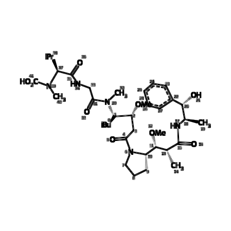 CC[C@H](C)[C@@H]([C@@H](CC(=O)N1CCC[C@H]1[C@H](OC)[C@@H](C)C(=O)N[C@H](C)[C@@H](O)c1ccccc1)OC)N(C)C(=O)CNC(=O)[C@H](C(C)C)N(C)C(=O)O